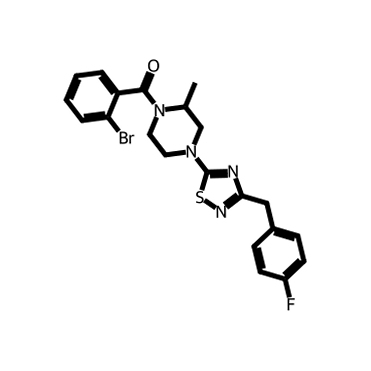 CC1CN(c2nc(Cc3ccc(F)cc3)ns2)CCN1C(=O)c1ccccc1Br